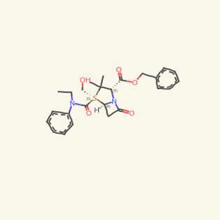 CCN(C(=O)[S@]1(CO)[C@@H]2CC(=O)N2[C@@H](C(=O)OCc2ccccc2)C1(C)C)c1ccccc1